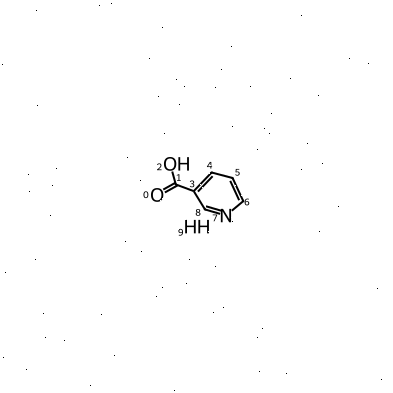 O=C(O)c1cccnc1.[HH]